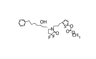 COC(=O)Oc1ccc(CCCN2C(=O)C(F)(F)C[C@@H]2CC[C@@H](O)CCCCc2ccccc2)s1